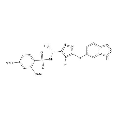 CCn1c(Oc2ccc3cc[nH]c3c2)nnc1[C@@H](C)NS(=O)(=O)c1ccc(OC)cc1OC